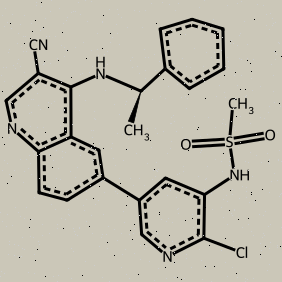 C[C@@H](Nc1c(C#N)cnc2ccc(-c3cnc(Cl)c(NS(C)(=O)=O)c3)cc12)c1ccccc1